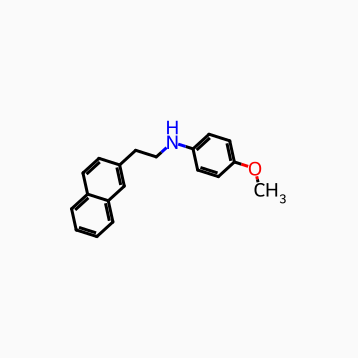 COc1ccc(NCCc2ccc3ccccc3c2)cc1